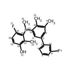 Cc1cc(-c2cccc(F)c2)cc(N(C)c2c(F)ccc(O)c2C)c1C